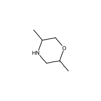 C[C]1CNC(C)CO1